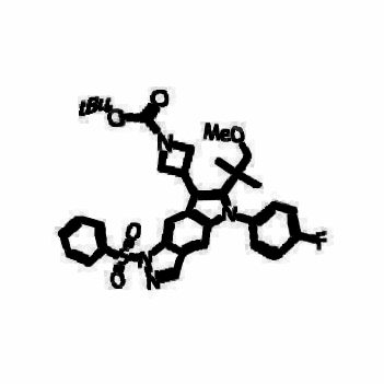 COCC(C)(C)c1c(C2CN(C(=O)OC(C)(C)C)C2)c2cc3c(cnn3S(=O)(=O)c3ccccc3)cc2n1-c1ccc(F)cc1